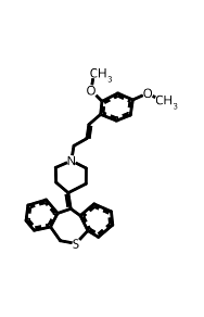 COc1ccc(/C=C/CN2CCC(=C3c4ccccc4CSc4ccccc43)CC2)c(OC)c1